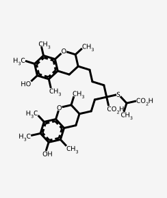 Cc1c(C)c2c(c(C)c1O)CC(CCCC(CCC1Cc3c(C)c(O)c(C)c(C)c3OC1C)(SC(C)C(=O)O)C(=O)O)C(C)O2